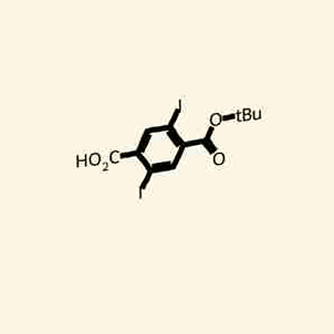 CC(C)(C)OC(=O)c1cc(I)c(C(=O)O)cc1I